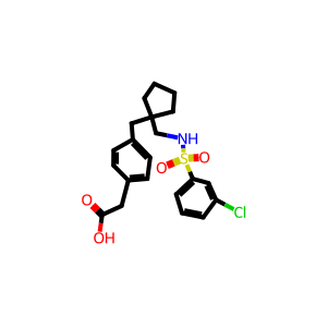 O=C(O)Cc1ccc(CC2(CNS(=O)(=O)c3cccc(Cl)c3)CCCC2)cc1